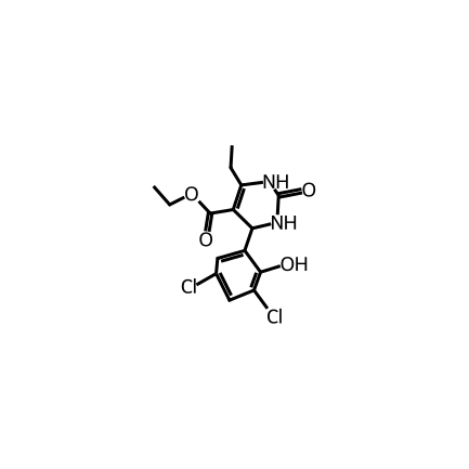 CCOC(=O)C1=C(CC)NC(=O)NC1c1cc(Cl)cc(Cl)c1O